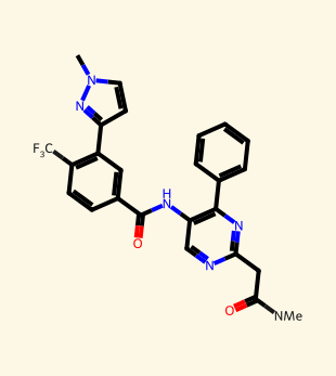 CNC(=O)Cc1ncc(NC(=O)c2ccc(C(F)(F)F)c(-c3ccn(C)n3)c2)c(-c2ccccc2)n1